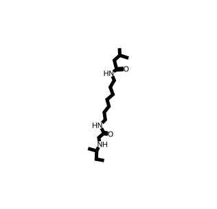 CCC(C)NCC(=O)NCCCCCCCNC(=O)CC(C)C